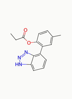 CCC(=O)Oc1ccc(C)cc1-c1cccc2[nH]nnc12